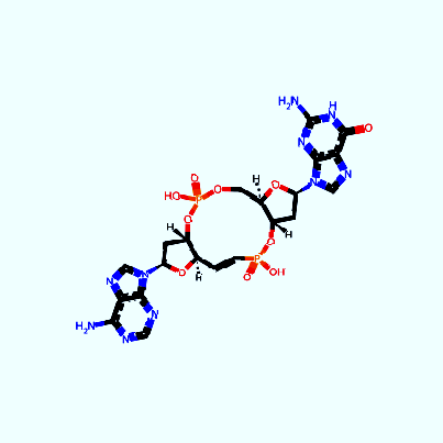 Nc1nc2c(ncn2[C@H]2C[C@@H]3OP(=O)(O)/C=C/[C@H]4O[C@@H](n5cnc6c(N)ncnc65)C[C@@H]4OP(=O)(O)OC[C@H]3O2)c(=O)[nH]1